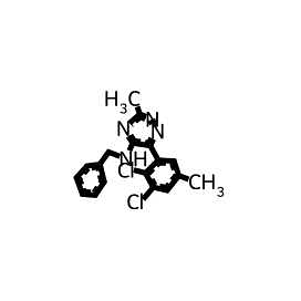 Cc1cc(Cl)c(Cl)c(-c2nnc(C)nc2NCc2ccccc2)c1